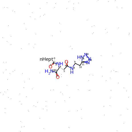 CCCCCCCC(=O)N[C@H](CC(=O)NCCc1nnn[nH]1)C(N)=O